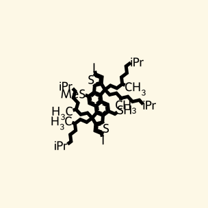 CSc1cc2c3c(c(CS)cc2c2c1-c1sc(I)cc1C2(CCC(C)CCCC(C)C)CCC(C)CCCC(C)C)-c1sc(I)cc1C3(CCC(C)CCCC(C)C)CCC(C)CCCC(C)C